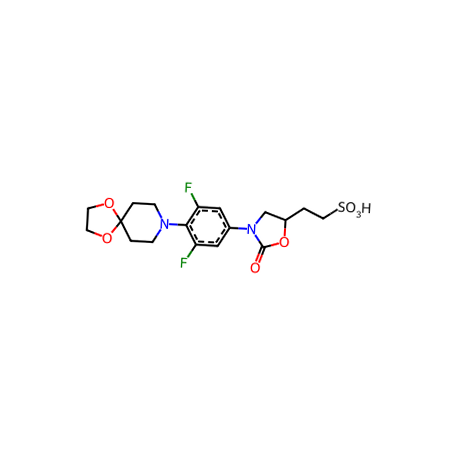 O=C1OC(CCS(=O)(=O)O)CN1c1cc(F)c(N2CCC3(CC2)OCCO3)c(F)c1